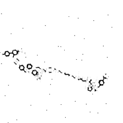 Cc1ncsc1-c1ccc(CNC(=O)[C@@H]2CCCN2C(=O)[C@@H](NC(=O)CCC(=O)NCCOCCOCCNC(=O)N2CCN(CC[C@H](CCSc3ccccc3)Nc3ccc(SNC(=O)c4ccc(N5CCN(CC6=C(c7ccc(Cl)cc7)CCC(C)(C)C6)CC5)cc4)cc3S(=O)(=O)C(F)(F)F)CC2)C(C)(C)C)cc1